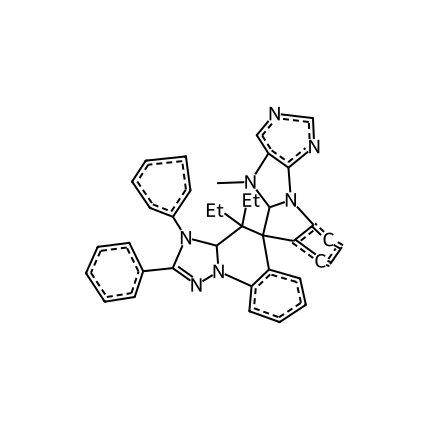 CCC1(CC)C2N(N=C(c3ccccc3)N2c2ccccc2)c2ccccc2C12c1ccccc1N1c3ncncc3N(C)C12